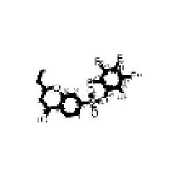 CCC1CC(=O)c2ccc(S(=O)(=O)Oc3c(F)c(F)c(F)c(F)c3F)cc2O1